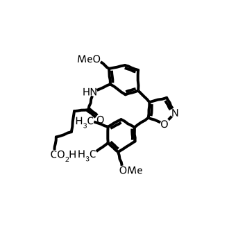 COc1ccc(-c2cnoc2-c2cc(C)c(C)c(OC)c2)cc1NC(=O)CCCC(=O)O